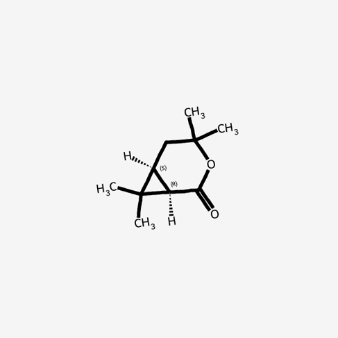 CC1(C)C[C@H]2[C@@H](C(=O)O1)C2(C)C